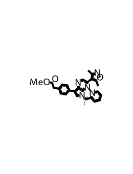 COC(=O)Cc1ccc(-c2cn([C@@H](C)c3ccccn3)c3nc(-c4c(C)noc4C)cnc23)cc1